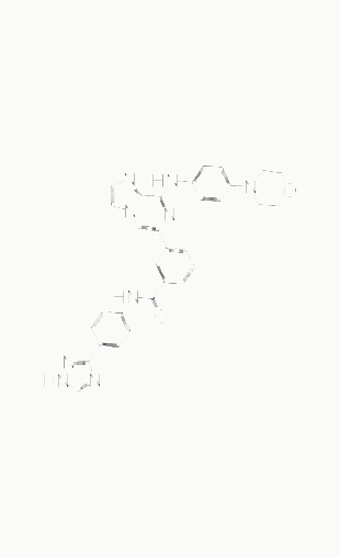 O=C(Nc1ccc(-c2nc[nH]n2)cc1)c1cccc(-c2cn3ccnc3c(Nc3ccc(N4CCOCC4)cc3)n2)c1